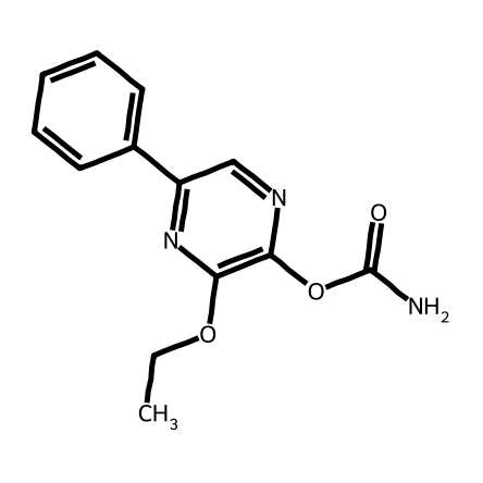 CCOc1nc(-c2ccccc2)cnc1OC(N)=O